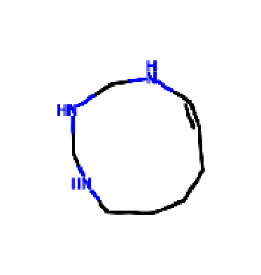 C1=CNCNCNCCCC1